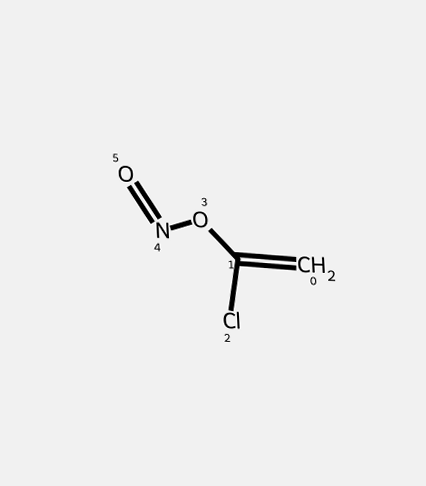 C=C(Cl)ON=O